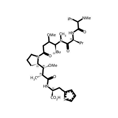 CC[C@H](C)C(C(CC(=O)N1CCC[C@H]1[C@H](OC)[C@@H](C)C(=O)N[C@@H](Cc1cccs1)C(=O)O)OC)N(C)C(=O)[C@@H](NC(=O)C(NC)C(C)C)C(C)C